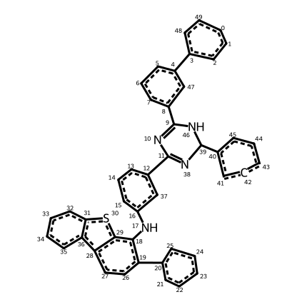 c1ccc(-c2cccc(C3=NC(c4cccc(Nc5c(-c6ccccc6)ccc6c5sc5ccccc56)c4)=NC(c4ccccc4)N3)c2)cc1